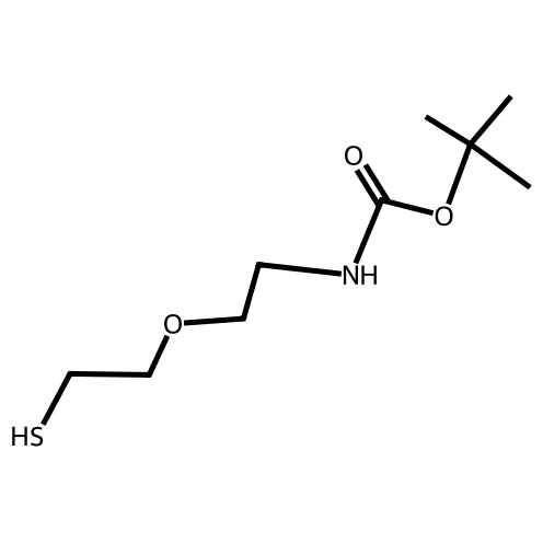 CC(C)(C)OC(=O)NCCOCCS